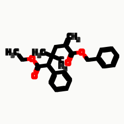 C=C(CC(C)(C)C(C(=O)OCC)c1ccccc1)C(=O)OCc1ccccc1